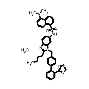 CCCCc1nc2ccc(NS(=O)(=O)c3cccc4c(N(C)C)cccc34)cc2n1Cc1ccc(-c2ccccc2-c2nnn[nH]2)cc1.O